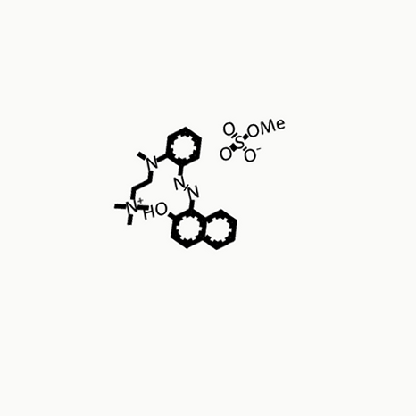 CN(CC[N+](C)(C)C)c1ccccc1N=Nc1c(O)ccc2ccccc12.COS(=O)(=O)[O-]